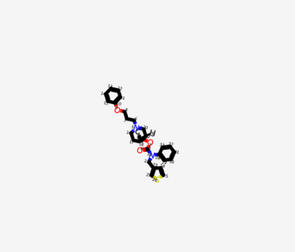 O=C(O[C@H]1C[N+]2(CCCOc3ccccc3)CCC1CC2)N(Cc1ccsc1)c1ccccc1